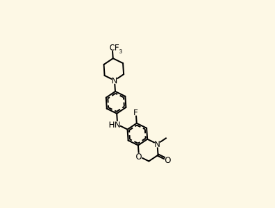 CN1C(=O)COc2cc(Nc3ccc(N4CCC(C(F)(F)F)CC4)cc3)c(F)cc21